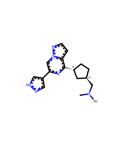 CC(=O)N(C)C[C@@H]1CC[C@@H](c2nc(-c3cn[nH]c3)cn3nccc23)C1